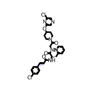 O=C(/C=C/c1ccc(Cl)cc1)N[C@@H](Cc1ccccn1)C(=O)NCC(=O)N1CCC(Oc2cncc(Cl)n2)CC1